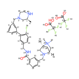 C[C@H]1CN(Cc2cccc(-c3cc(CNC(=O)c4cccc(CN5C[C@@H]6C[C@H]5C[N+]6(C)C)c4)ccc3F)c2)CCN1.O=C(O)C(F)(F)F.O=C([O-])C(F)(F)F